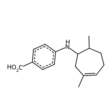 CC1=CCCC(C)C(Nc2ccc(C(=O)O)cc2)C1